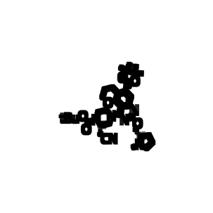 CN1CCC[C@H]1COc1nc(N2CCN(C(=O)OC(C)(C)C)[C@@H](CC#N)C2)c2c3c(c(B4OC(C)(C)C(C)(C)O4)cc2n1)CCCO3